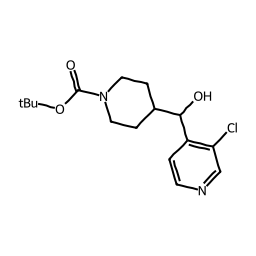 CC(C)(C)OC(=O)N1CCC(C(O)c2ccncc2Cl)CC1